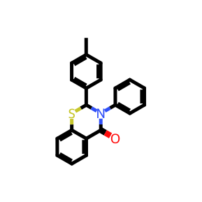 Cc1ccc(C2Sc3ccccc3C(=O)N2c2ccccc2)cc1